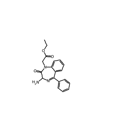 CCOC(=O)CN1C(=O)C(N)N=C(c2ccccc2)c2ccccc21